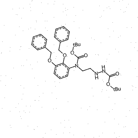 CC(C)(C)OC(=O)NNCCN(C(=O)OC(C)(C)C)c1cccc(OCc2ccccc2)c1OCc1ccccc1